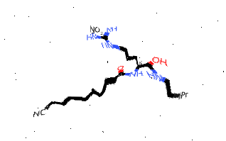 CC(C)CCNC(O)[C@H](CCCNC(=N)N[N+](=O)[O-])NC(=O)CCCCCCCCC#N